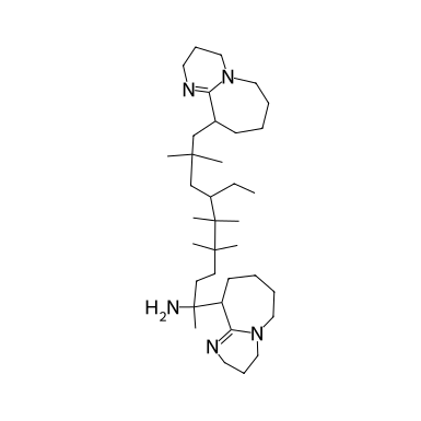 CCC(CC(C)(C)CC1CCCCN2CCCN=C12)C(C)(C)C(C)(C)CCC(C)(N)C1CCCCN2CCCN=C12